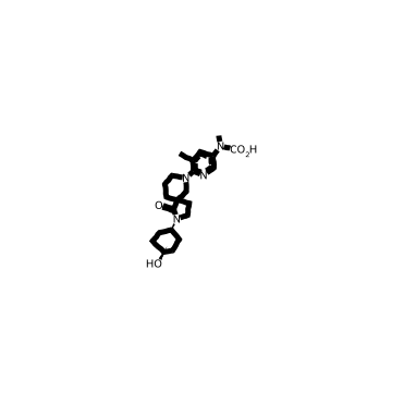 Cc1cc(N(C)C(=O)O)cnc1N1CCCC2(CCN([C@H]3CC[C@H](O)CC3)C2=O)C1